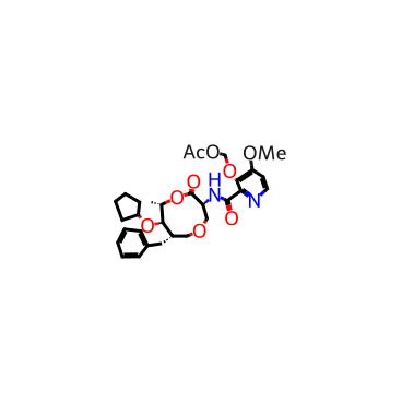 COc1ccnc(C(=O)N[C@H]2COC[C@H](Cc3ccccc3)[C@@H](OC3CCCC3)[C@H](C)OC2=O)c1OCOC(C)=O